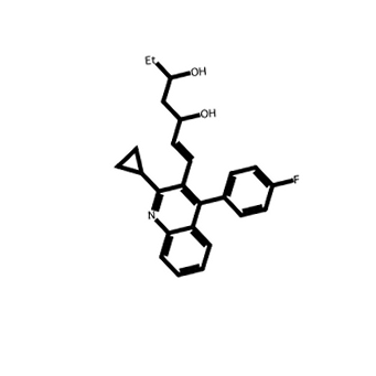 CCC(O)CC(O)/C=C/c1c(C2CC2)nc2ccccc2c1-c1ccc(F)cc1